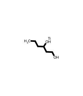 CCCC(O)CCO.[Ti]